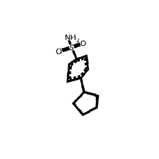 NS(=O)(=O)c1ccc(C2CCCC2)cc1